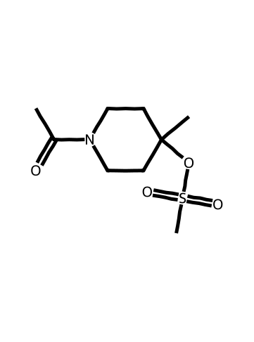 CC(=O)N1CCC(C)(OS(C)(=O)=O)CC1